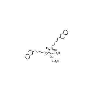 O=C(O)COC(C(=O)O)C(OCCCCCc1ccc2ccccc2c1)C(=O)N(O)CCCCCc1ccc2ccccc2c1